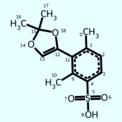 Cc1ccc(S(=O)(=O)O)c(C)c1C1=COC(C)(C)O1